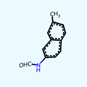 Cc1ccc2ccc(NC=O)cc2c1